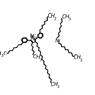 CCCCCCCCCCCCCCCCCCCC1=C(c2cccc(CCCCCCCC)c2)[N+](=[N-])C(c2cccc(CCCCCCCC)c2)=C1CCCCCC.CCCCCCCCC[CH2][Ni][CH2]CCCCCCCCC